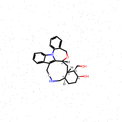 OC[C@@H]1[C@H]2C[C@H]3OCc4ccccc4-n4c3c(c3ccccc34)CCNC[C@@H]2CC[C@@H]1O